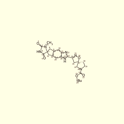 CN1C(=O)NC(=O)C12Cc1cc3nc(C4=NO[C@]5(CCN(C(=O)OC(C)(C)C)C5)C4)[nH]c3cc1C2